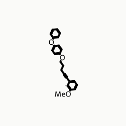 COc1[c]c(C#CCCCOc2ccc(Oc3ccccc3)cc2)ccc1